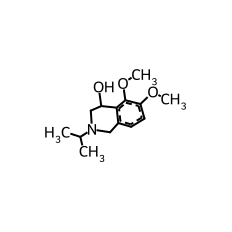 COc1ccc2c(c1OC)C(O)CN(C(C)C)C2